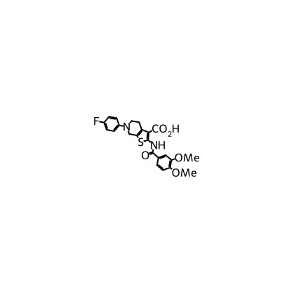 COc1ccc(C(=O)Nc2sc3c(c2C(=O)O)CCN(c2ccc(F)cc2)C3)cc1OC